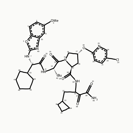 COc1ccc2oc(N[C@H](C(=O)N[C@H](C(=O)N3C[C@H](Oc4ccc(Cl)cn4)C[C@H]3C(=O)NC(CC3CCC3)C(=O)C(N)=O)C(C)(C)C)C3CCCCC3)nc2c1